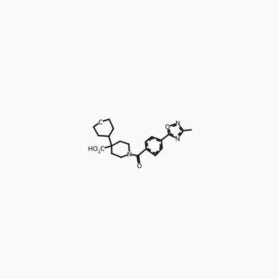 Cc1noc(-c2ccc(C(=O)N3CCC(C(=O)O)(C4CCCCC4)CC3)cc2)n1